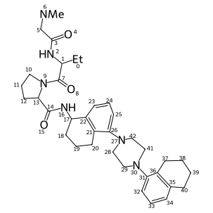 CCC(NC(=O)CNC)C(=O)N1CCCC1C(=O)NC1CCCc2c1cccc2N1CCN(c2cccc3c2CCCC3)CC1